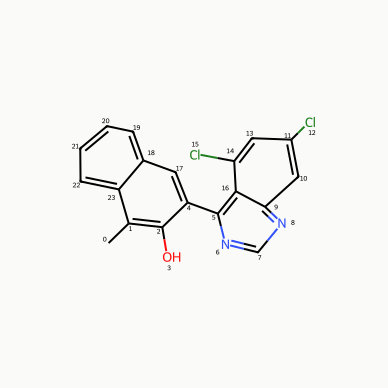 Cc1c(O)c(-c2ncnc3cc(Cl)cc(Cl)c23)cc2ccccc12